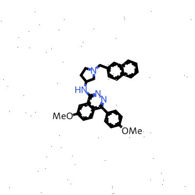 COc1ccc(-c2nnc(NC3CCN(Cc4ccc5ccccc5c4)C3)c3cc(OC)ccc23)cc1